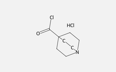 Cl.O=C(Cl)C12CCN(CC1)CC2